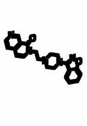 O=c1c2cnccc2ccn1CCN1CCN(c2noc3ccccc23)CC1